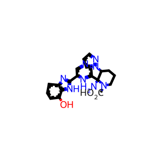 NC1(c2cncc(-c3nc4cccc(O)c4[nH]3)n2)C(n2cccn2)CCCN1C(=O)O